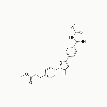 COC(=O)CCc1ccc(-c2nc(-c3ccc(C(=N)NC(=O)OC)cc3)c[nH]2)cc1